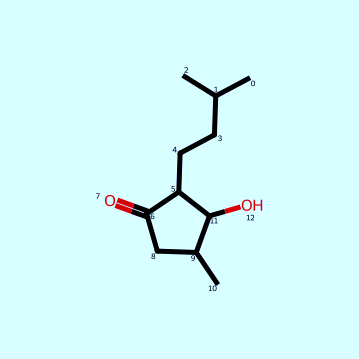 CC(C)CCC1C(=O)CC(C)C1O